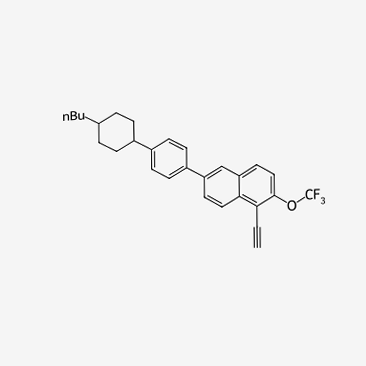 C#Cc1c(OC(F)(F)F)ccc2cc(-c3ccc(C4CCC(CCCC)CC4)cc3)ccc12